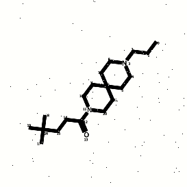 CCCN1CCC2(CC1)CCN(C(=O)CCC(C)(C)C)CC2